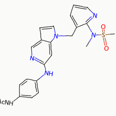 CC(=O)Nc1ccc(Nc2cc3c(ccn3Cc3cccnc3N(C)S(C)(=O)=O)cn2)cc1